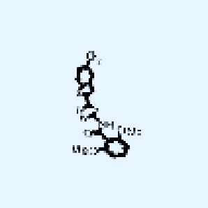 COc1cccc(OC)c1C(=O)Nc1nnc(-c2cc3cc(C(F)(F)F)ccc3s2)s1